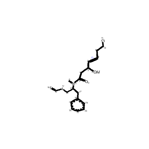 CN(C(=O)CC(O)/C=C/CCCl)C(CSC=S)Cc1ccccc1